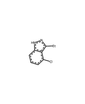 CCc1n[nH]c2cccc(Cl)c12